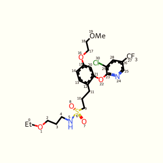 CCOCCCNS(=O)(=O)CCCc1ccc(OCCOC)cc1Oc1ncc(C(F)(F)F)cc1Cl